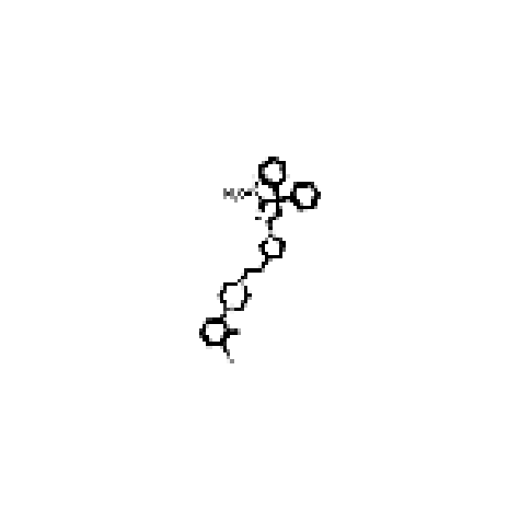 CN(C)C(=O)C(CCN1CCC(CCN2CCN(c3cccc(Cl)c3Cl)CC2)C1)(c1ccccc1)c1ccccc1